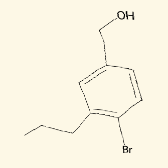 CCCc1cc(CO)ccc1Br